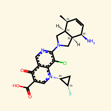 C[C@H]1C=C[C@@H](N)[C@H]2CN(c3ncc4c(=O)c(C(=O)O)cn([C@@H]5C[C@@H]5F)c4c3Cl)C[C@H]21